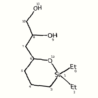 CC[Si]1(CC)CCCC(CC(O)CO)O1